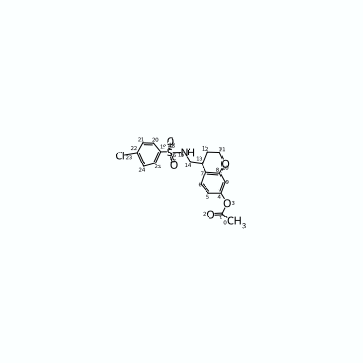 CC(=O)Oc1ccc2c(c1)OCCC2CNS(=O)(=O)c1ccc(Cl)cc1